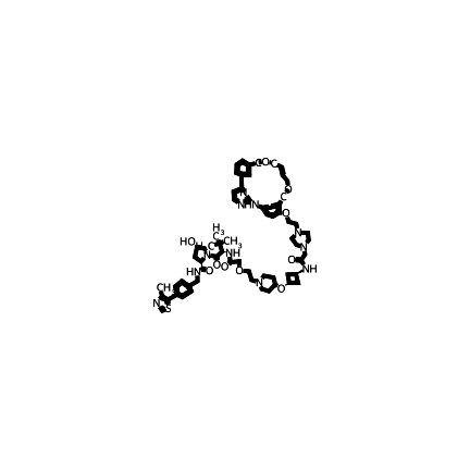 Cc1ncsc1-c1ccc(CNC(=O)[C@@H]2C[C@@H](O)CN2C(=O)[C@@H](NC(=O)COCCN2CCC(O[C@H]3C[C@H](NC(=O)CN4CCN(CCOc5ccc6cc5COC/C=C/COCc5cccc(c5)-c5ccnc(n5)N6)CC4)C3)CC2)C(C)(C)C)cc1